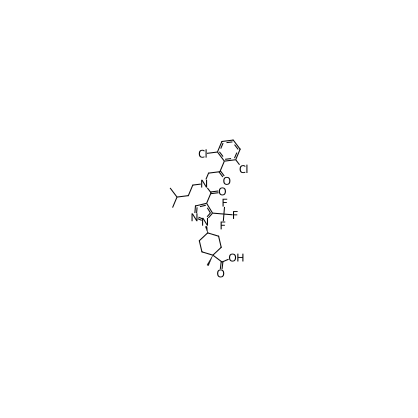 CC(C)CCN(CC(=O)c1c(Cl)cccc1Cl)C(=O)c1cnn([C@H]2CC[C@](C)(C(=O)O)CC2)c1C(F)(F)F